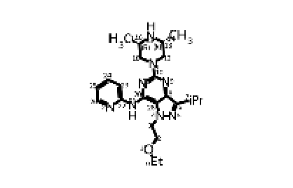 CCOCCn1nc(C(C)C)c2nc(N3C[C@@H](C)N[C@H](C)C3)nc(Nc3ccccn3)c21